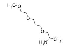 COCCOCCCOCC(C)N